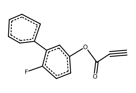 C#CC(=O)Oc1ccc(F)c(-c2ccccc2)c1